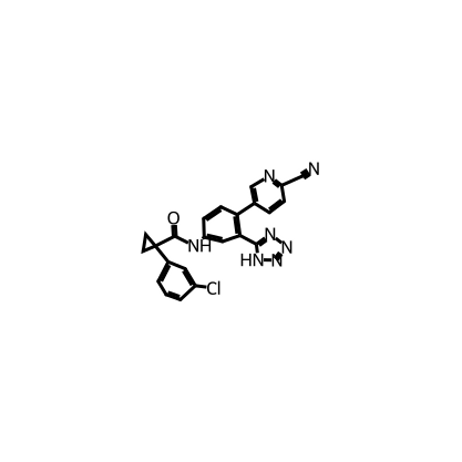 N#Cc1ccc(-c2ccc(NC(=O)C3(c4cccc(Cl)c4)CC3)cc2-c2nnn[nH]2)cn1